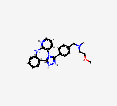 COCCN(C)Cc1ccc(-c2nnc3n2-c2cccnc2Nc2ccccc2-3)cc1